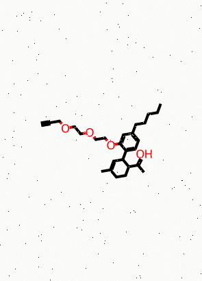 C#CCOCCOCCOc1cc(CCCCC)cc(O)c1C1C=C(C)CCC1C(=C)C